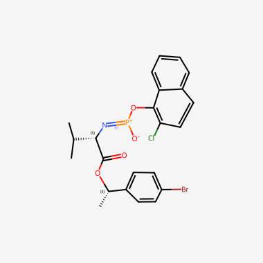 CC(C)[C@H](/N=[P+](\[O-])Oc1c(Cl)ccc2ccccc12)C(=O)O[C@@H](C)c1ccc(Br)cc1